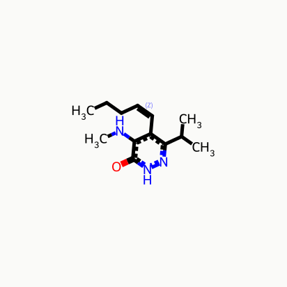 CCC/C=C\c1c(C(C)C)n[nH]c(=O)c1NC